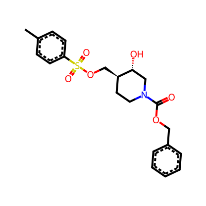 Cc1ccc(S(=O)(=O)OC[C@@H]2CCN(C(=O)OCc3ccccc3)C[C@H]2O)cc1